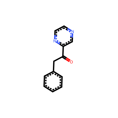 O=C(Cc1ccccc1)c1cnccn1